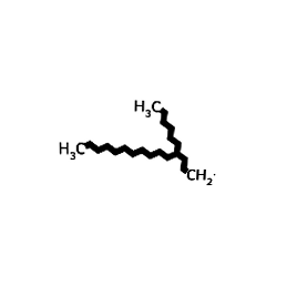 [CH2]CCC(CCCCCC)CCCCCCCCCCC